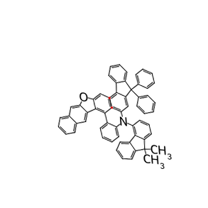 CC1(C)c2ccccc2-c2c(N(c3ccc4c(c3)C(c3ccccc3)(c3ccccc3)c3ccccc3-4)c3ccccc3-c3cccc4oc5cc6ccccc6cc5c34)cccc21